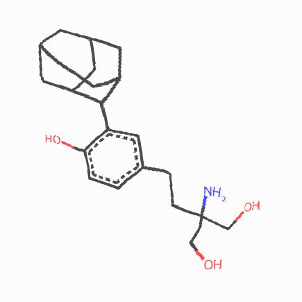 NC(CO)(CO)CCc1ccc(O)c(C2C3CC4CC(C3)CC2C4)c1